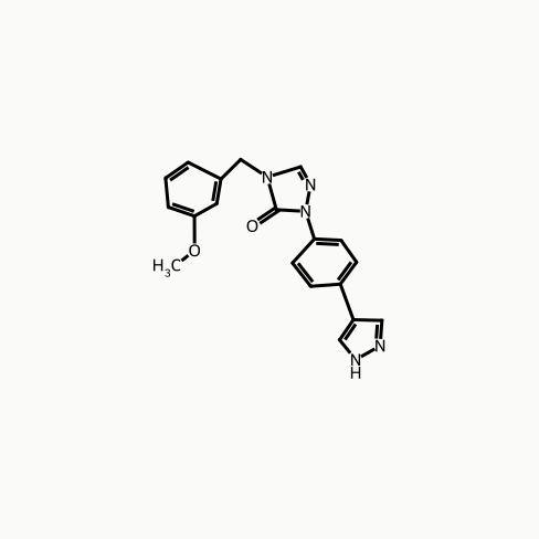 COc1cccc(Cn2cnn(-c3ccc(-c4cn[nH]c4)cc3)c2=O)c1